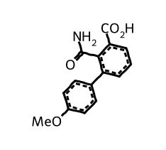 COc1ccc(-c2cccc(C(=O)O)c2C(N)=O)cc1